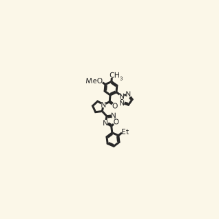 CCc1ccccc1-c1nc(C2CCCN2C(=O)c2cc(OC)c(C)cc2-n2nccn2)no1